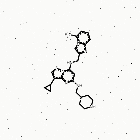 FC(F)(F)c1cccc2nc(CNc3cc(NCC4CCNCC4)nc4c(C5CC5)cnn34)cn12